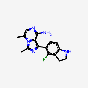 Cc1cnc(N)c2c(-c3ccc4c(c3F)CCN4)nc(C)n12